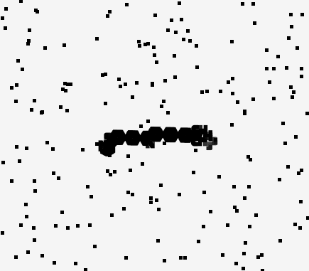 C[Si](C)(C)c1ccc(-c2ccc(-c3ccc4cc(-c5ccc(-c6ccc7sc8ncccc8c7c6)cc5)cnc4c3)cc2)cc1